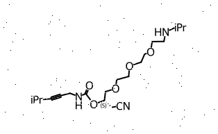 CC(C)C#CCNC(=O)O[C@@H](CC#N)COCCOCCOCCNC(C)C